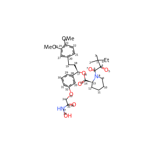 CCC(C)(C)C(=O)C(=O)N1CCCC[C@H]1C(=O)O[C@H](CCc1ccc(OC)c(OC)c1)c1cccc(OCC(=O)NO)c1